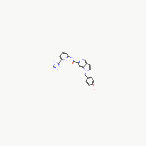 CCOc1ccc(Cn2ccc3cnc(C(=O)Nc4cccc(-c5nncn5C(C)C)n4)cc32)cc1